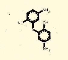 N#Cc1ccc(N)cc1Sc1cc(N)ccc1O